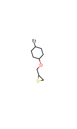 CCC1CCC(OCC2CS2)CC1